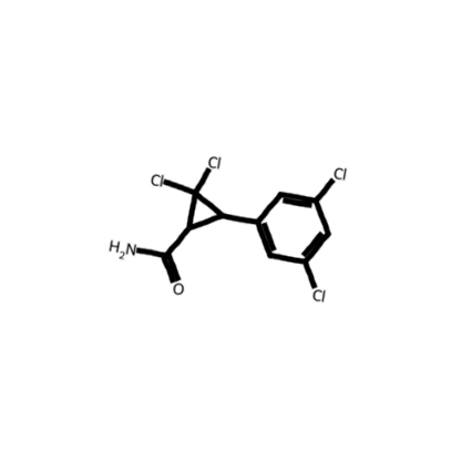 NC(=O)C1C(c2cc(Cl)cc(Cl)c2)C1(Cl)Cl